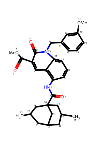 COC(=O)c1cc2c(NC(=O)C34CC(C)CC(CC(C)C3)C4)cccc2n(Cc2cccc(OC)c2)c1=O